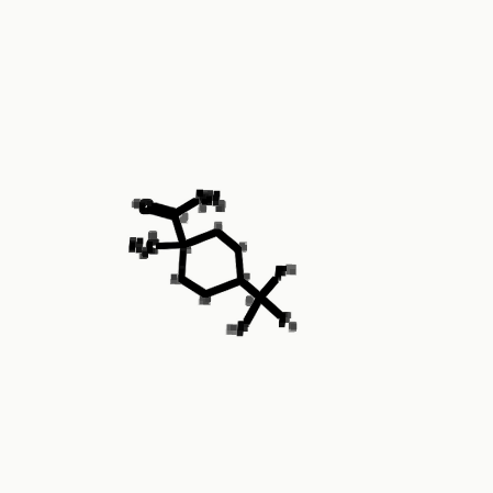 CC1(C(N)=O)CCC(C(F)(F)F)CC1